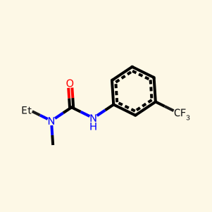 CCN(C)C(=O)Nc1cccc(C(F)(F)F)c1